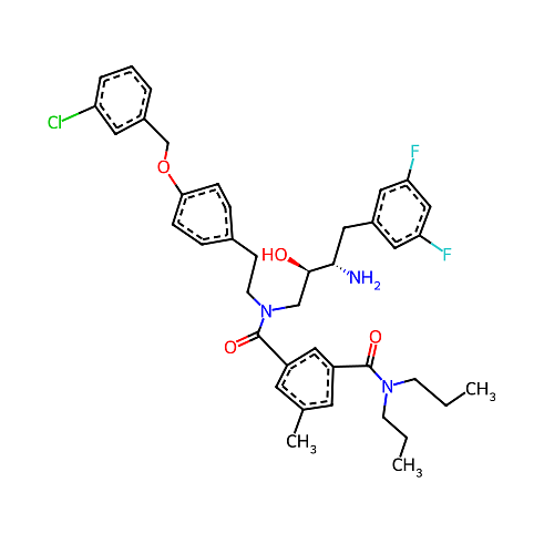 CCCN(CCC)C(=O)c1cc(C)cc(C(=O)N(CCc2ccc(OCc3cccc(Cl)c3)cc2)C[C@@H](O)[C@@H](N)Cc2cc(F)cc(F)c2)c1